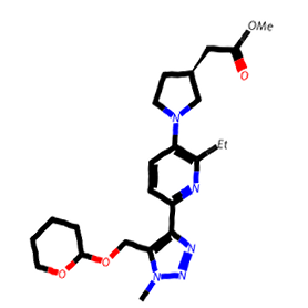 CCc1nc(-c2nnn(C)c2COC2CCCCO2)ccc1N1CC[C@@H](CC(=O)OC)C1